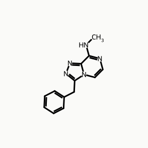 CNc1nccn2c(Cc3ccccc3)nnc12